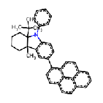 CC(C)(C)C12CCCCC1(C)c1cc(-c3ccc4ccc5cccc6ccc3c4c56)ccc1N2c1ccccc1